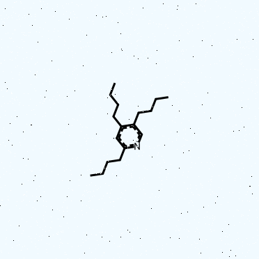 CCCCc1[c]c(CCCC)c(CCCC)cn1